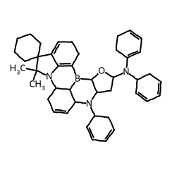 CC1(C)N2C3=C(CCC=C3C13CCCCC3)B1C3OC(N(C4=CC=CCC4)C4C=CC=CC4)CC3N(C3C=CC=CC3)C3C=CCC2C13